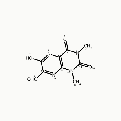 Cn1c(=O)c2nc(O)c(C=O)nc2n(C)c1=O